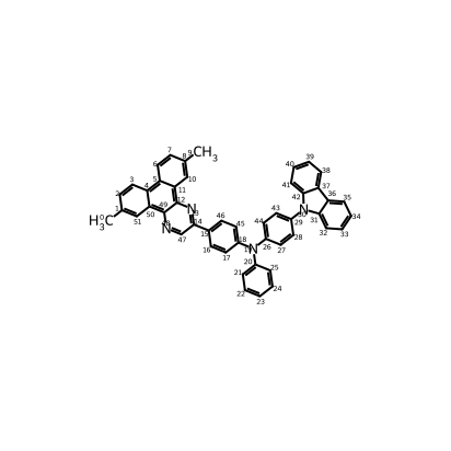 Cc1ccc2c3ccc(C)cc3c3nc(-c4ccc(N(c5ccccc5)c5ccc(-n6c7ccccc7c7ccccc76)cc5)cc4)cnc3c2c1